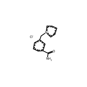 NC(=O)c1cccc(C[n+]2ccccc2)c1.[Cl-]